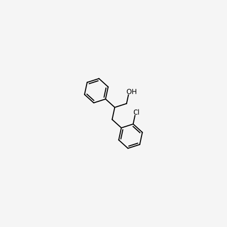 OCC(Cc1ccccc1Cl)c1ccccc1